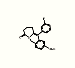 COc1ccc2c(c1)C(c1cccc(F)c1)=C1CCCC(=O)N1C2